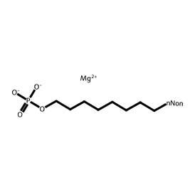 CCCCCCCCCCCCCCCCCOP(=O)([O-])[O-].[Mg+2]